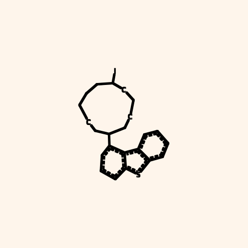 IC1CCCCCC(c2cccc3sc4ccccc4c23)CCCC1